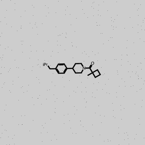 CC(C)Cc1ccc(C2CCN(C(=O)C3(C)CCC3)CC2)cc1